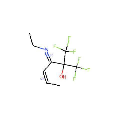 C/C=C\C(=N/CC)C(O)(C(F)(F)F)C(F)(F)F